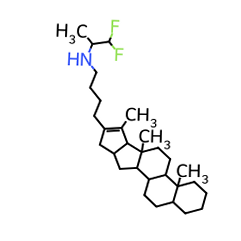 CC1=C(CCCCNC(C)C(F)F)CC2CC3C4CCC5CCCCC5(C)C4CCC3(C)C12